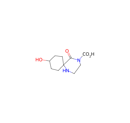 O=C(O)N1CCNC2(CCC(O)CC2)C1=O